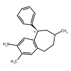 Cc1cc2c(cc1N)[C@@H](c1ccccc1)CN(C)CC2